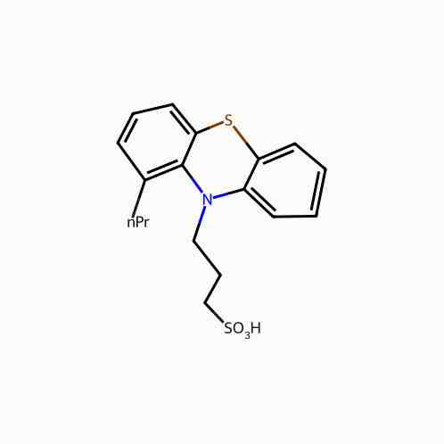 CCCc1cccc2c1N(CCCS(=O)(=O)O)c1ccccc1S2